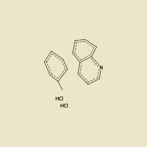 Cc1ccccc1.Cl.Cl.c1ccc2ncccc2c1